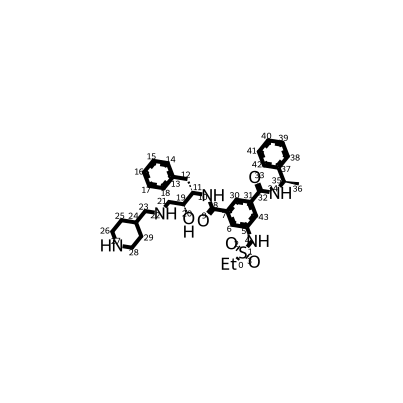 CCS(=O)(=O)Nc1cc(C(=O)N[C@@H](Cc2ccccc2)[C@H](O)CNCC2CCNCC2)cc(C(=O)N[C@H](C)c2ccccc2)c1